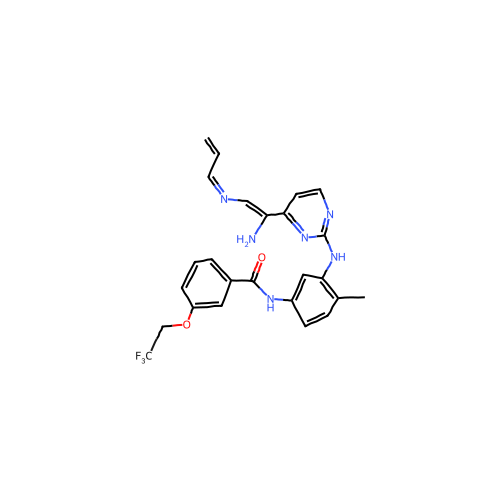 C=C/C=N\C=C(/N)c1ccnc(Nc2cc(NC(=O)c3cccc(OCC(F)(F)F)c3)ccc2C)n1